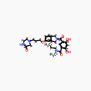 CCCN(C)C(=O)c1cc(C(=O)N2Cc3ccc(OCCCN4CCNC(=O)C4)cc3C2)c(O)cc1O